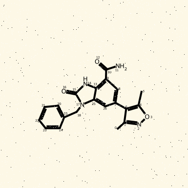 Cc1noc(C)c1-c1cc(C(N)=O)c2[nH]c(=O)n(Cc3ccccc3)c2c1